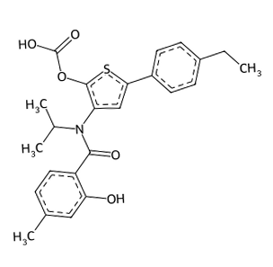 CCc1ccc(-c2cc(N(C(=O)c3ccc(C)cc3O)C(C)C)c(OC(=O)O)s2)cc1